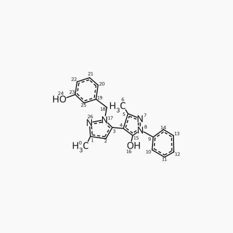 Cc1cc(-c2c(C)nn(-c3ccccc3)c2O)n(Cc2cccc(O)c2)n1